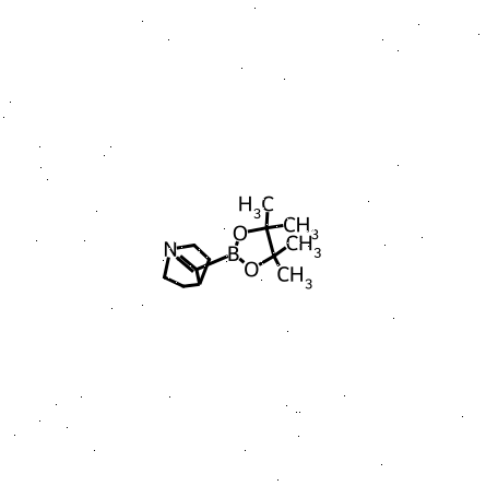 CC1(C)OB(C2=CN3CCC2CC3)OC1(C)C